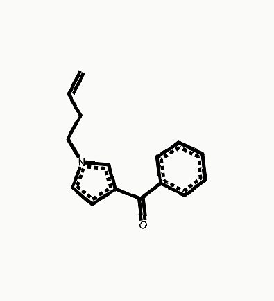 C=CCCn1ccc(C(=O)c2ccccc2)c1